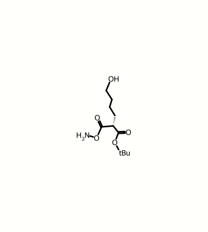 CC(C)(C)OC(=O)[C@@H](CCCCO)C(=O)ON